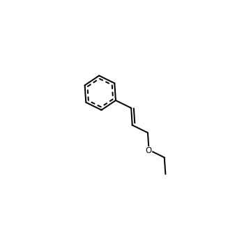 CCOCC=Cc1ccccc1